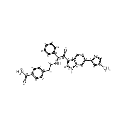 Cn1cnc(-c2ccc3c(C(=O)C(NCCc4ccc(C(N)=O)cc4)c4ccccc4)c[nH]c3c2)c1